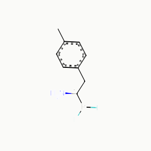 Cc1ccc(C[C@H](N)B(F)F)cc1